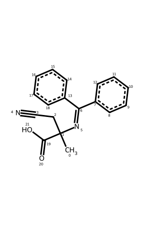 CC(CC#N)(N=C(c1ccccc1)c1ccccc1)C(=O)O